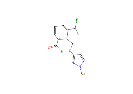 O=C(Br)c1cccc(C(F)F)c1COc1ccn(S)n1